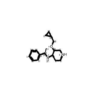 C[C@@H](NC1CCNCC1OCC1CC1)c1ccccc1